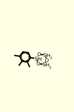 Cc1ccc([SiH]2O[SiH2]O[SiH2]O2)c(C)c1C